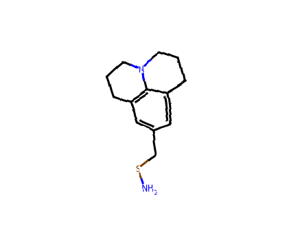 NSCc1cc2c3c(c1)CCCN3CCC2